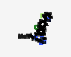 CNCCN1Cc2cc(C3(Cl)CCC(c4ncccc4F)CC3)ccc2-n2cnnc2C1